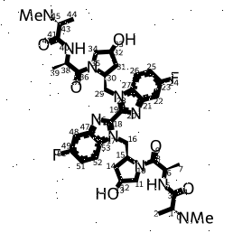 CN[C@H](C)C(=O)N[C@H](C)C(=O)N1CC(O)C[C@H]1Cn1c(-c2nc3cc(F)ccc3n2C[C@@H]2CC(O)CN2C(=O)[C@@H](C)NC(=O)[C@@H](C)NC)nc2cc(F)ccc21